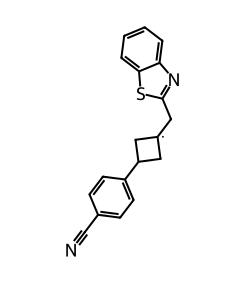 N#Cc1ccc(C2C[C](Cc3nc4ccccc4s3)C2)cc1